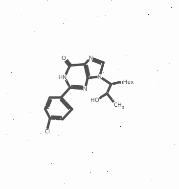 CCCCCCC(C(C)O)n1cnc2c(=O)[nH]c(-c3ccc(Cl)cc3)nc21